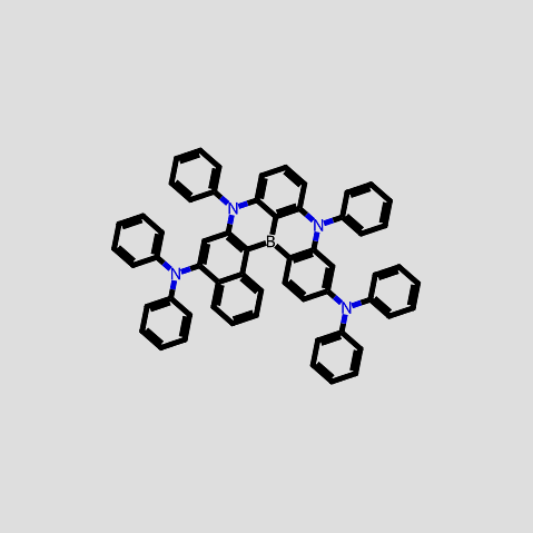 c1ccc(N(c2ccccc2)c2ccc3c(c2)N(c2ccccc2)c2cccc4c2B3c2c(cc(N(c3ccccc3)c3ccccc3)c3ccccc23)N4c2ccccc2)cc1